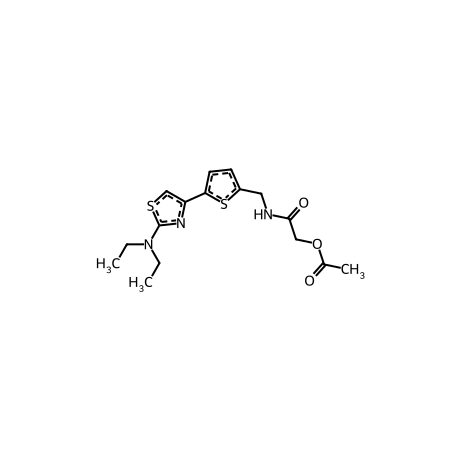 CCN(CC)c1nc(-c2ccc(CNC(=O)COC(C)=O)s2)cs1